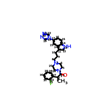 CC(C(=O)N1CCN(CCCc2c[nH]c3ccc(-n4cnnc4)cc23)CC1)c1ccccc1F